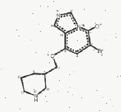 Clc1c(Br)cc(OCC2CCCNC2)c2cncn12